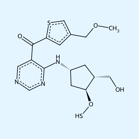 COCc1csc(C(=O)c2cncnc2N[C@@H]2C[C@H](CO)[C@@H](OS)C2)c1